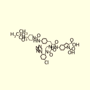 CC(C)(C)OC(=O)C1CCN(C(=O)Nc2ccc(CC(C(=O)Nc3ccc4c(c3)cc(C(=O)O)n4C(=O)O)N3CCN(c4cc(Cl)ccc4-n4cnnn4)C(=O)C3=O)cc2)CC1